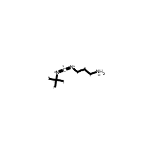 CC(C)(C)N=C=NCCCN